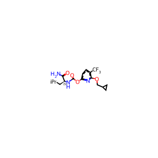 CC(C)C[C@H](NC(=O)Oc1ccc(C(F)(F)F)c(OCC2CC2)n1)C(N)=O